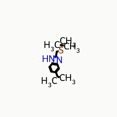 CC(C)c1ccc2[nH]c(CSC(C)(C)C)nc2c1